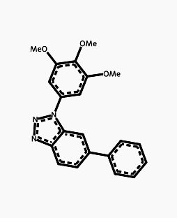 COc1cc(-n2nnc3ccc(-c4ccccc4)cc32)cc(OC)c1OC